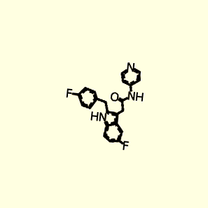 O=C(Cc1c(Cc2ccc(F)cc2)[nH]c2ccc(F)cc12)Nc1ccncc1